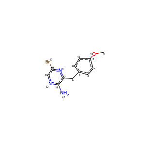 COc1ccc(Cc2nc(Br)cnc2N)cc1